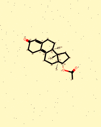 CC(=O)O[C@H]1CC[C@H]2[C@@H]3CCC4=CC(=O)CCC4=C3CC[C@]12C